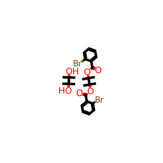 CC(C)(O)C(C)(C)O.CC(C)(OC(=O)c1ccccc1Br)C(C)(C)OC(=O)c1ccccc1Br